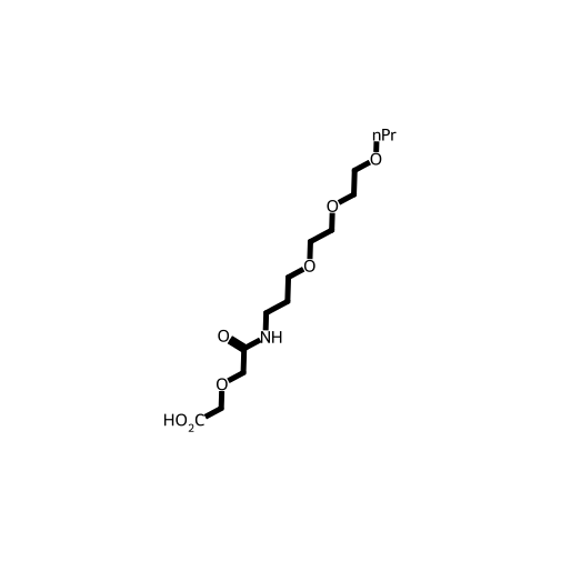 CCCOCCOCCOCCCNC(=O)COCC(=O)O